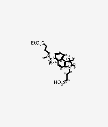 CCOC(=O)CCCN(C)[S+]([O-])c1cccc2c3c(ccc12)[N+](CCCS(=O)(=O)O)=C(C)C3(C)C